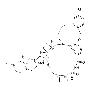 CO[C@@]1(CN2CCN3CCN(C(C)C)C[C@H]3C2)/C=C/C[C@H](C)[C@@H](C)S(=O)(=O)NC(=O)c2ccc3c(c2)N(CCCCc2cc(Cl)ccc2CO3)C[C@@H]2CC[C@H]21